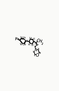 CC(=CCN1CCOCC1)c1ccc(-c2ccc(F)cc2)cc1